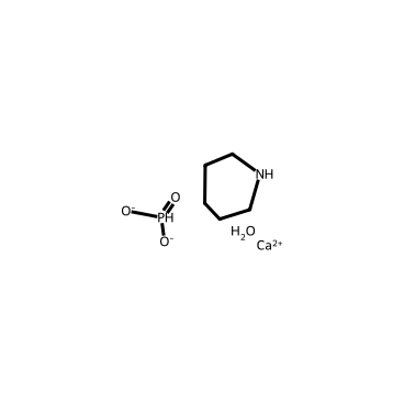 C1CCNCC1.O.O=[PH]([O-])[O-].[Ca+2]